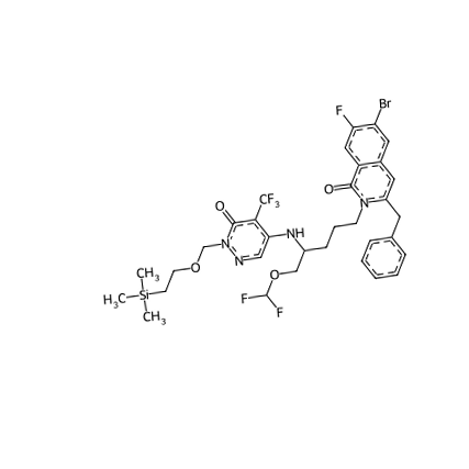 C[Si](C)(C)CCOCn1ncc(NC(CCCn2c(Cc3ccccc3)cc3cc(Br)c(F)cc3c2=O)COC(F)F)c(C(F)(F)F)c1=O